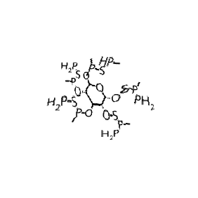 CPSP(C)OC1O[C@H](OSP(C)P)[C@H](OSP(C)P)C(OP(C)SP)[C@@H]1OP(C)SP